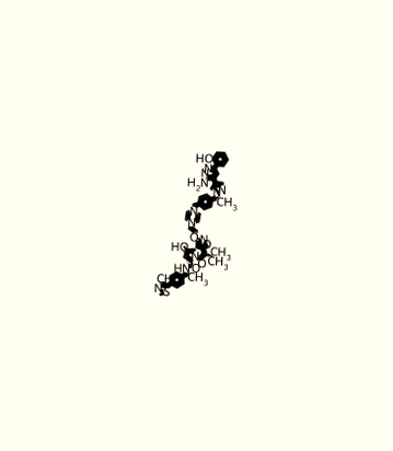 Cc1ncsc1-c1ccc([C@H](C)NC(=O)[C@@H]2C[C@@H](O)CN2C(=O)[C@H](c2cc(OCCN3CCN(Cc4ccc(C(C)n5cc(-c6cc(-c7ccccc7O)nnc6N)cn5)cc4)CC3)no2)C(C)C)cc1